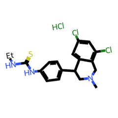 CCNC(=S)Nc1ccc(C2CN(C)Cc3c(Cl)cc(Cl)cc32)cc1.Cl